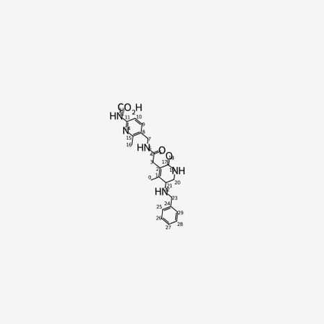 CC1=C(CC(=O)NCc2ccc(NC(=O)O)nc2C)C(=O)NCC1NCc1ccccc1